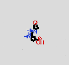 COc1ccc2nc(-c3n[nH]c4ccc(C(=O)O)cc34)[nH]c2c1